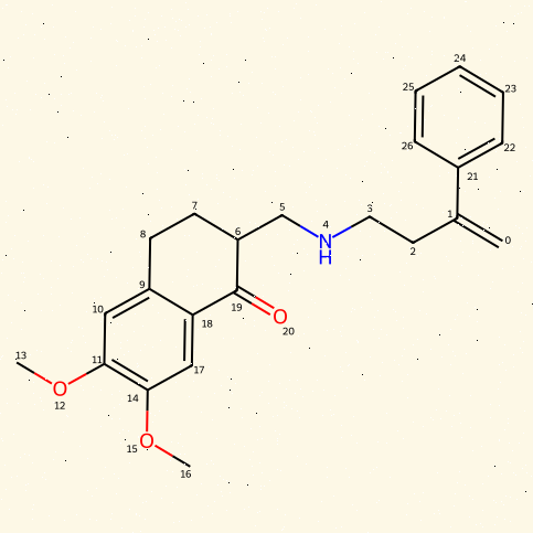 C=C(CCNCC1CCc2cc(OC)c(OC)cc2C1=O)c1ccccc1